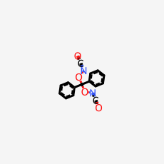 O=C=NOC(ON=C=O)(c1ccccc1)c1ccccc1